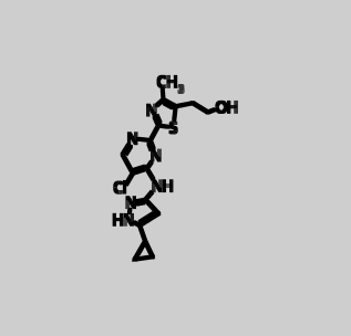 Cc1nc(-c2ncc(Cl)c(Nc3cc(C4CC4)[nH]n3)n2)sc1CCO